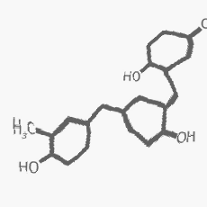 CC1CC(CC2CCC(O)C(CC3CC(O)CCC3O)C2)CCC1O